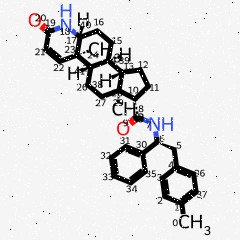 Cc1ccc(C[C@H](NC(=O)[C@H]2CC[C@H]3[C@@H]4CC[C@H]5NC(=O)C=C[C@]5(C)[C@H]4CC[C@]23C)c2ccccc2)cc1